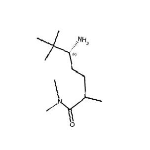 CC(CC[C@@H](N)C(C)(C)C)C(=O)N(C)C